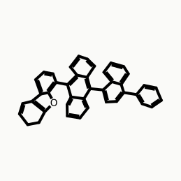 C1=Cc2c(oc3c(-c4c5ccccc5c(-c5ccc(-c6ccccc6)c6ccccc56)c5ccccc45)cccc23)CC1